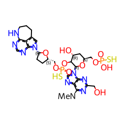 CNc1nc(CO)nc2c1ncn2[C@@H]1O[C@H](COP(=O)(O)S)C[C@@H](O)C1OP(=O)(S)OC[C@@H]1CC[C@H](n2cc3c4c(ncnc42)NCCC3)O1